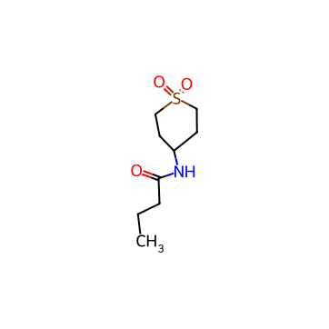 CCCC(=O)NC1CCS(=O)(=O)CC1